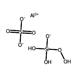 O=S(=O)([O-])[O-].[Al+3].[O-][Si](O)(O)OO